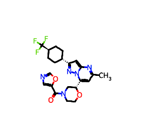 Cc1cc([C@H]2CN(C(=O)c3cnco3)CCO2)n2nc([C@H]3CC[C@H](C(F)(F)F)CC3)cc2n1